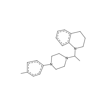 Cc1ccc(N2CCN(C(C)N3CCCc4ccccc43)CC2)cc1